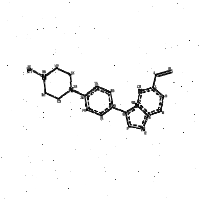 C=Cc1ccc2ncc(-c3ccc(N4CCN(C(C)C)CC4)cc3)n2n1